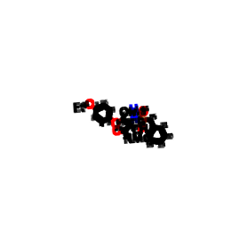 CCOc1ccc(OC(OC)C(C)(NS(=O)(=O)Cc2ccccc2)C(=O)NC)cc1